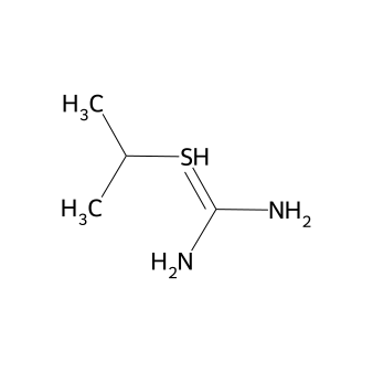 CC(C)[SH]=C(N)N